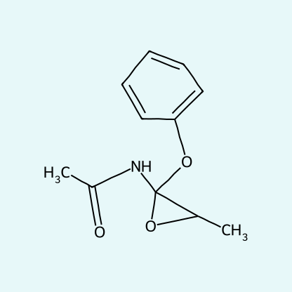 CC(=O)NC1(Oc2ccccc2)OC1C